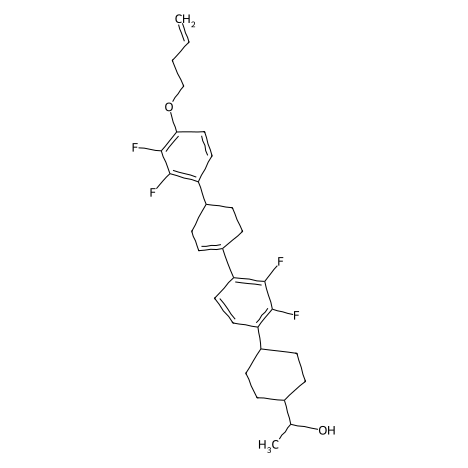 C=CCCOc1ccc(C2CC=C(c3ccc(C4CCC(C(C)O)CC4)c(F)c3F)CC2)c(F)c1F